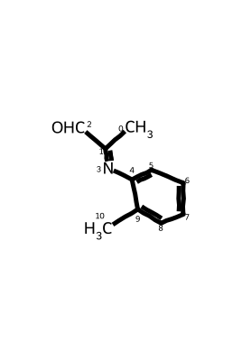 CC(C=O)=Nc1ccccc1C